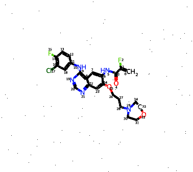 C=C(F)C(=O)Nc1cc2c(Nc3ccc(F)c(Cl)c3)ncnc2cc1OCCCN1CCOCC1